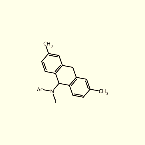 CC(=O)N(I)C1c2ccc(C)cc2Cc2cc(C)ccc21